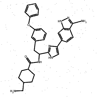 NCC1CCC(C(=O)NC(Cc2cccc(Oc3ccccc3)c2)c2nc(-c3ccc4c(N)n[nH]c4c3)c[nH]2)CC1